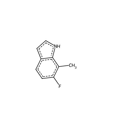 Cc1c(F)ccc2cc[nH]c12